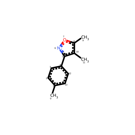 Cc1ccc(-c2noc(C)c2C)cc1